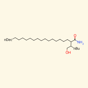 CCCCCCCCCCCCCCCCCCCCCCCCCC(C(N)=O)C(CO)CCCC